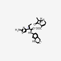 C/C=C(\C(=O)Nc1ccc2c(c1)NC=[C+]C2)c1csc(N)n1.CC1C(=O)N2C(C(=O)[O-])=CCS[C@@H]12